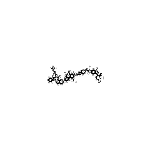 Cn1nc(C2CCC(=O)NC2=O)c2ccc(NC(=O)CN3CCC4(CC3)CC(COc3ccc(-c5ccc(N6CCc7ccnc(C(=O)N(COCC[Si](C)(C)C)c8nc9ccccc9s8)c7C6)nc5C(=O)OC(C)(C)C)c(C(F)(F)F)c3)C4)cc21